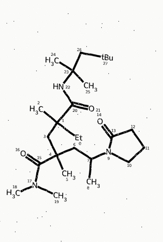 CCC(C)(CC(C)(CC(C)N1CCCC1=O)C(=O)N(C)C)C(=O)NC(C)(C)CC(C)(C)C